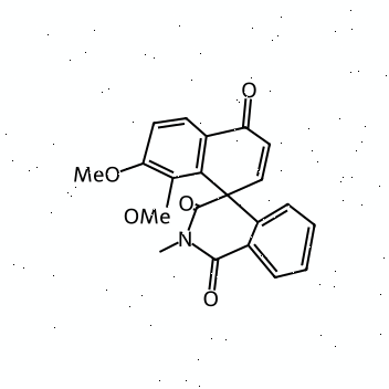 COc1ccc2c(c1OC)C1(C=CC2=O)C(=O)N(C)C(=O)c2ccccc21